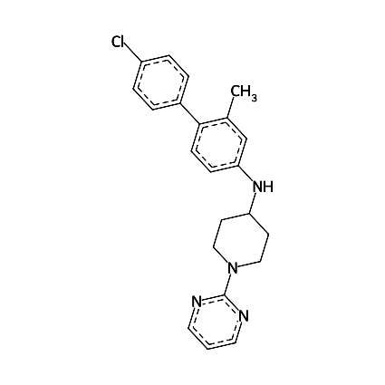 Cc1cc(NC2CCN(c3ncccn3)CC2)ccc1-c1ccc(Cl)cc1